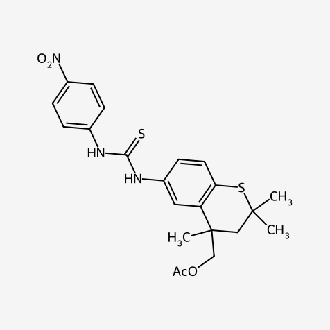 CC(=O)OCC1(C)CC(C)(C)Sc2ccc(NC(=S)Nc3ccc([N+](=O)[O-])cc3)cc21